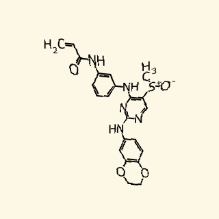 C=CC(=O)Nc1cccc(Nc2nc(Nc3ccc4c(c3)OCCO4)ncc2[S+](C)[O-])c1